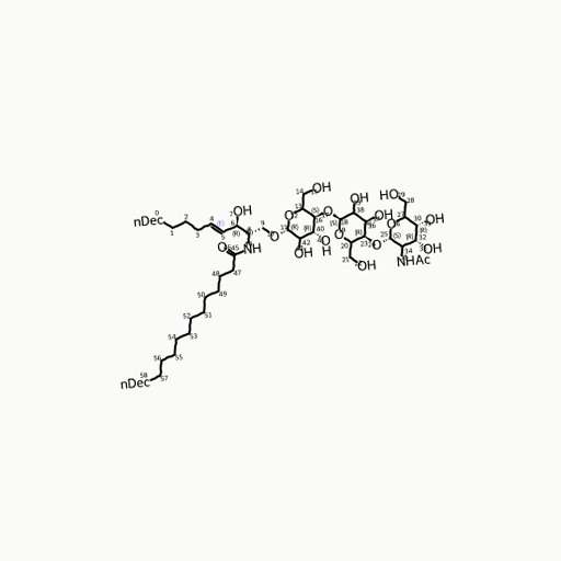 CCCCCCCCCCCCC/C=C/[C@@H](O)[C@H](CO[C@@H]1OC(CO)[C@@H](O[C@@H]2OC(CO)[C@H](O[C@@H]3OC(CO)[C@H](O)[C@H](O)C3NC(C)=O)[C@H](O)C2O)[C@H](O)C1O)NC(=O)CCCCCCCCCCCCCCCCCCCCC